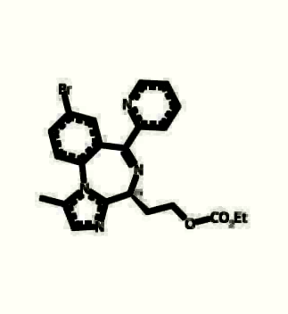 CCOC(=O)OCC[C@@H]1N=C(c2ccccn2)c2cc(Br)ccc2-n2c(C)cnc21